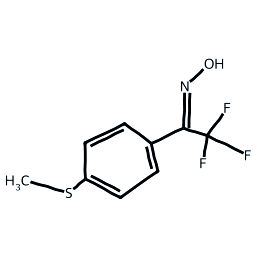 CSc1ccc(C(=NO)C(F)(F)F)cc1